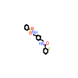 O=C(NCc1ccc(CNS(=O)(=O)c2ccccc2)cc1)c1ccccc1F